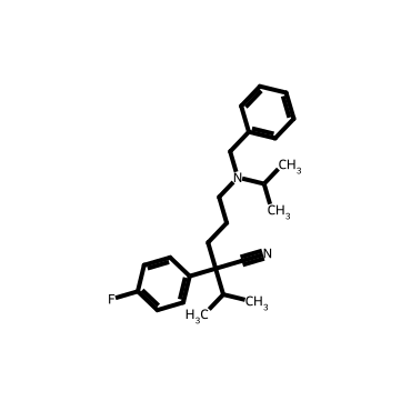 CC(C)N(CCCC(C#N)(c1ccc(F)cc1)C(C)C)Cc1ccccc1